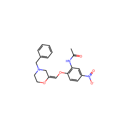 CC(=O)Nc1cc([N+](=O)[O-])ccc1OC=C1CN(Cc2ccccc2)CCO1